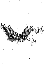 O.O.O.O.O.O.O.O.O.O.O.O.O.O.O.O.O.O.O=S(=O)(O)O.[GaH3]